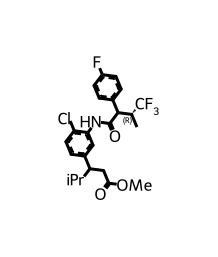 COC(=O)CC(c1ccc(Cl)c(NC(=O)C(c2ccc(F)cc2)[C@@H](C)C(F)(F)F)c1)C(C)C